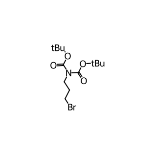 CC(C)(C)OC(=O)N(CCCBr)C(=O)OC(C)(C)C